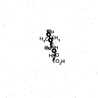 CC[C@H](C)[C@@H](COc1cc(C)c(-c2ccc(C(C)(C)C)cc2)c(C)c1)Nc1ccc(C(=O)NCCC(=O)O)cc1